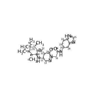 C[C@@H]1[C@@H](C)C(C)(C)[C@@H](C)C[C@H]1Nc1cnn(CC(=O)Nc2ccc3[nH]cnc3c2)c(=O)c1Br